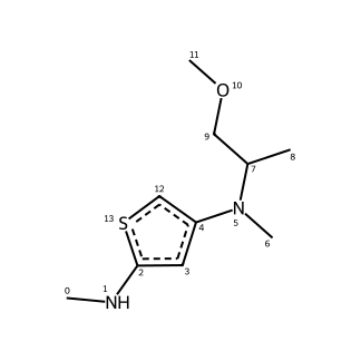 CNc1cc(N(C)C(C)COC)cs1